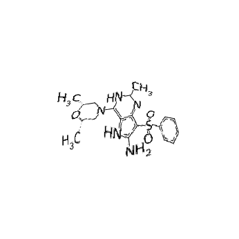 CC1N=c2c(S(=O)(=O)c3ccccc3)c(N)[nH]c2=C(N2C[C@@H](C)O[C@@H](C)C2)N1